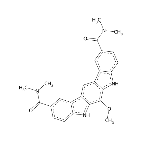 COc1c2[nH]c3ccc(C(=O)N(C)C)cc3c2cc2c1[nH]c1ccc(C(=O)N(C)C)cc12